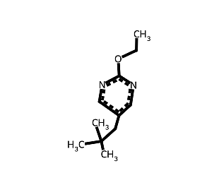 CCOc1ncc(CC(C)(C)C)cn1